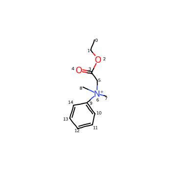 CCOC(=O)C[N+](C)(C)c1ccccc1